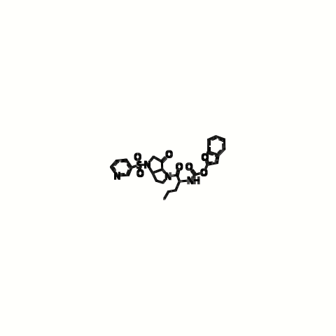 CCCC(NC(=O)Oc1cc2ccccc2o1)C(=O)N1CCC2C1C(=O)CN2S(=O)(=O)c1cccnc1